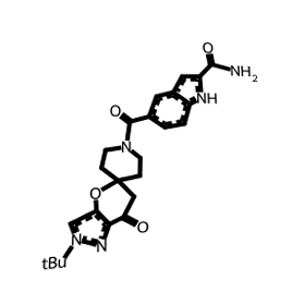 CC(C)(C)n1cc2c(n1)C(=O)CC1(CCN(C(=O)c3ccc4[nH]c(C(N)=O)cc4c3)CC1)O2